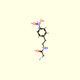 O=C(CF)NCCc1ccc([N+](=O)[O-])cc1